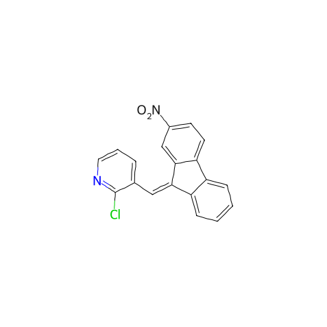 O=[N+]([O-])c1ccc2c(c1)C(=Cc1cccnc1Cl)c1ccccc1-2